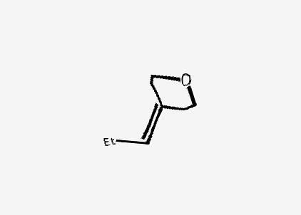 CCC=C1COC1